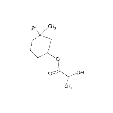 CC(O)C(=O)OC1CCCC(C)(C(C)C)C1